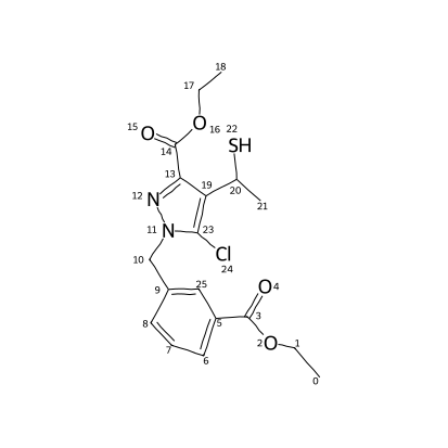 CCOC(=O)c1cccc(Cn2nc(C(=O)OCC)c(C(C)S)c2Cl)c1